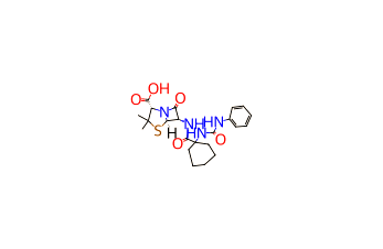 CC1(C)S[C@@H]2[C@H](NC(=O)C3(NC(=O)Nc4ccccc4)CCCCC3)C(=O)N2[C@H]1C(=O)O